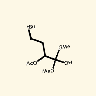 COC(O)(OC)C(CCC(C)(C)C)OC(C)=O